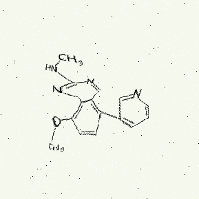 CNc1ncc2c(-c3cccnc3)ccc(OC)c2n1